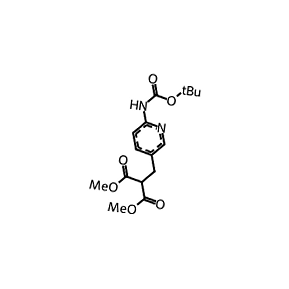 COC(=O)C(Cc1ccc(NC(=O)OC(C)(C)C)nc1)C(=O)OC